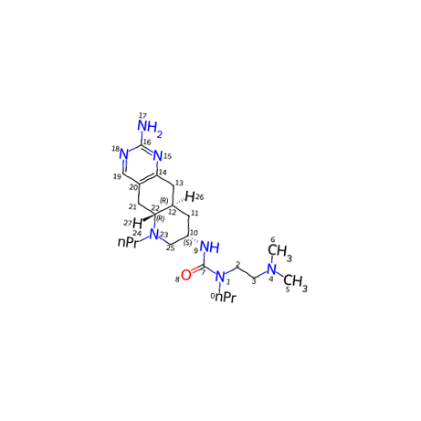 CCCN(CCN(C)C)C(=O)N[C@H]1C[C@@H]2Cc3nc(N)ncc3C[C@H]2N(CCC)C1